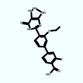 CCOc1cc(-c2ccc(C(=O)O)c(F)c2)ccc1-c1nc2c(c(=O)[nH]1)NNN2